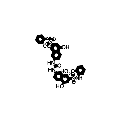 O=C(Nc1ccc2c(O)cc(S(=O)(=O)Nc3ccccc3C(=O)O)cc2c1)Nc1ccc2c(O)cc(S(=O)(=O)Nc3ccccc3C(=O)O)cc2c1